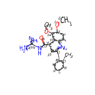 COc1ccc2nc(-c3ccccc3C)cc(C(=O)NC(=N)N)c2c1OC